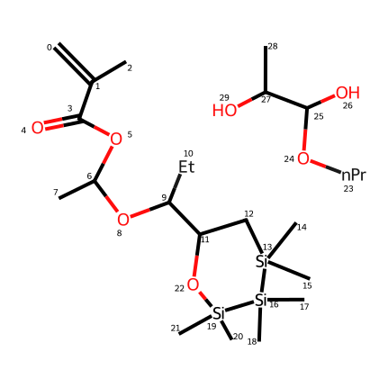 C=C(C)C(=O)OC(C)OC(CC)C1C[Si](C)(C)[Si](C)(C)[Si](C)(C)O1.CCCOC(O)C(C)O